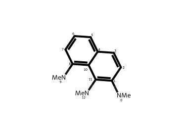 CNc1c[c]c2cccc(NC)c2c1NC